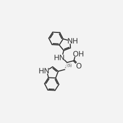 O=C(O)[C@H](Cc1c[nH]c2ccccc12)Nc1c[nH]c2ccccc12